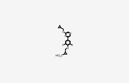 O=C(O)C1CC1COc1c(F)cc(-c2cncc(OCC3CC3)n2)cc1F